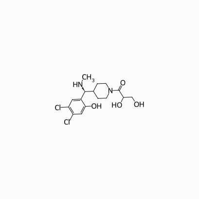 CN[C@H](c1cc(Cl)c(Cl)cc1O)C1CCN(C(=O)C(O)CO)CC1